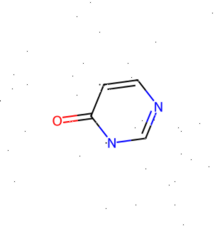 O=C1[C]=CN=C[N]1